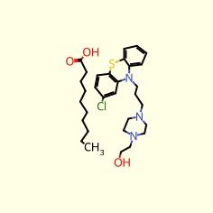 CCCCCCCCCC(=O)O.OCCN1CCN(CCCN2c3ccccc3Sc3ccc(Cl)cc32)CC1